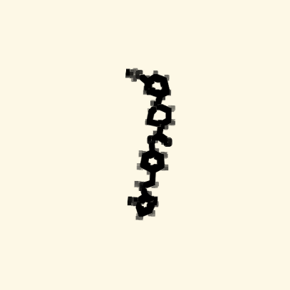 Cc1cccc(N2CCN(C(=O)Oc3ccc(CSc4ncc[nH]4)cc3)CC2)n1